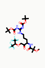 COC(C)(C)C(=O)NC(CCCNC(=NC(=O)OC(C)(C)C)NC(=O)OC(C)(C)C)C(=O)COC(C(F)(F)F)C(F)(F)F